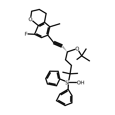 Cc1c(C#C[C@@H](CCC(C)(C)[Si](O)(c2ccccc2)c2ccccc2)OC(C)(C)C)cc(F)c2c1CCCO2